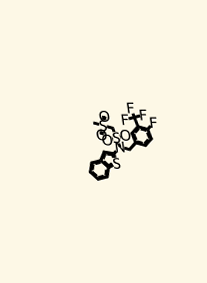 CS(=O)(=O)CS(=O)(=O)N(Cc1ccc(F)c(C(F)(F)F)c1)c1cc2ccccc2s1